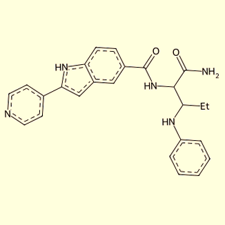 CCC(Nc1ccccc1)C(NC(=O)c1ccc2[nH]c(-c3ccncc3)cc2c1)C(N)=O